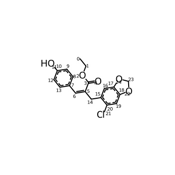 CCOC(=O)C(=Cc1ccc(O)cc1)Cc1cc2c(cc1Cl)OCO2